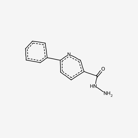 NNC(=O)c1ccc(-c2ccccc2)nc1